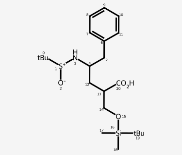 CC(C)(C)[S+]([O-])NC(Cc1ccccc1)CC(CO[Si](C)(C)C(C)(C)C)C(=O)O